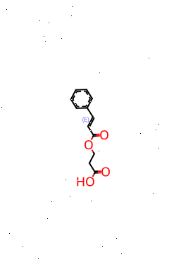 O=C(O)CCOC(=O)/C=C/c1ccccc1